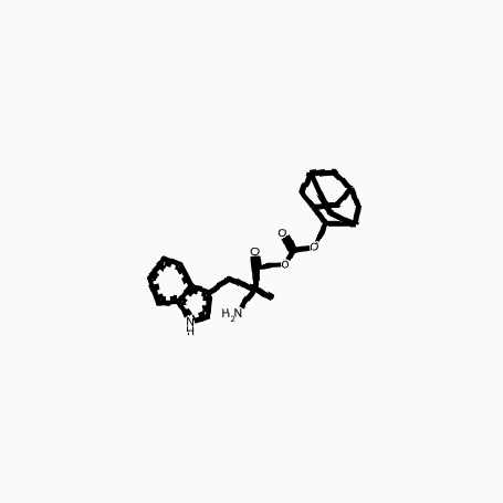 CC(N)(Cc1c[nH]c2ccccc12)C(=O)OC(=O)OC1C2CC3CC(C2)CC1C3